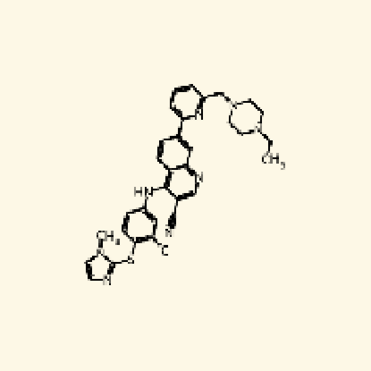 CCN1CCN(Cc2cccc(-c3ccc4c(Nc5ccc(Sc6nccn6C)c(Cl)c5)c(C#N)cnc4c3)n2)CC1